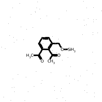 CC(=O)c1cccc(CO[SiH3])c1C(C)=O